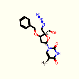 Cc1cn([C@H]2CC(OCc3ccccc3)[C@@](CO)(CN=[N+]=[N-])O2)c(=O)[nH]c1=O